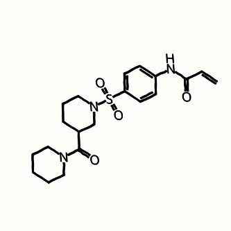 C=CC(=O)Nc1ccc(S(=O)(=O)N2CCCC(C(=O)N3CCCCC3)C2)cc1